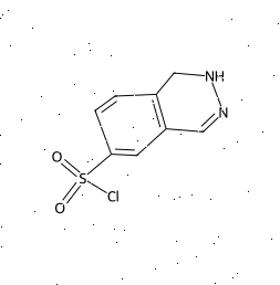 O=S(=O)(Cl)c1ccc2c(c1)C=NNC2